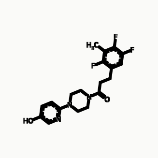 Cc1c(F)c(F)cc(CCC(=O)N2CCN(c3ccc(O)cn3)CC2)c1F